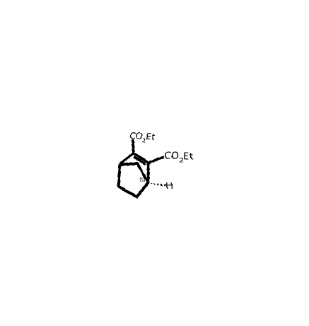 CCOC(=O)C1=C(C(=O)OCC)[C@H]2CCC1C2